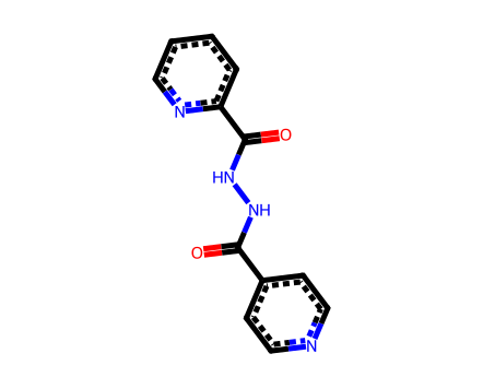 O=C(NNC(=O)c1ccccn1)c1ccncc1